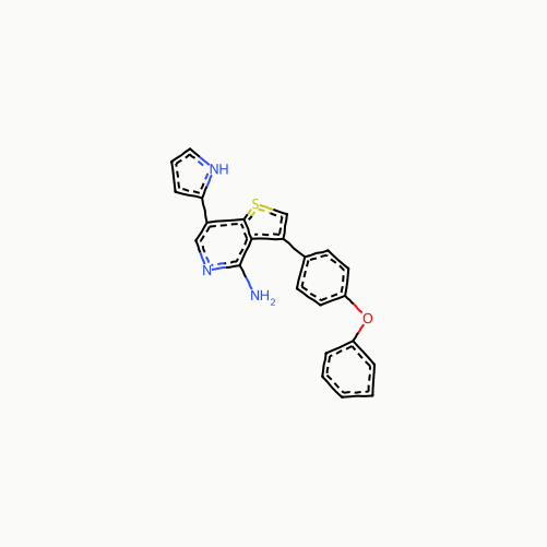 Nc1ncc(-c2ccc[nH]2)c2scc(-c3ccc(Oc4ccccc4)cc3)c12